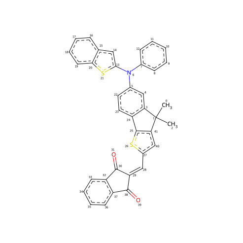 CC1(C)c2cc(N(c3ccccc3)c3cc4ccccc4s3)ccc2-c2sc(C=C3C(=O)c4ccccc4C3=O)cc21